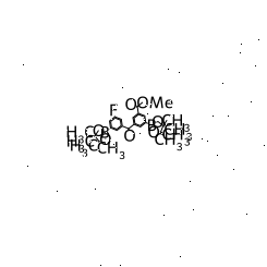 COC(=O)c1cc(B2OC(C)(C)C(C)(C)O2)cc(C(=O)c2cc(F)cc(B3OC(C)(C)C(C)(C)O3)c2)c1